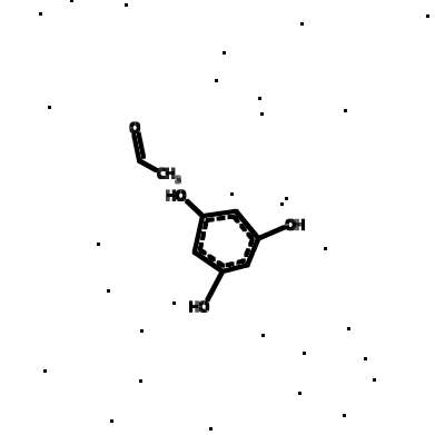 CC=O.Oc1cc(O)cc(O)c1